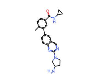 Cc1ccc(C(=O)NC2CC2)cc1-c1ccc2nc(N3CC[C@@H](N)C3)ncc2c1